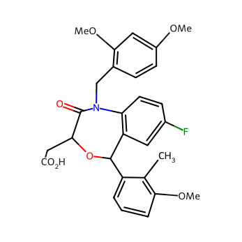 COc1ccc(CN2C(=O)C(CC(=O)O)OC(c3cccc(OC)c3C)c3cc(F)ccc32)c(OC)c1